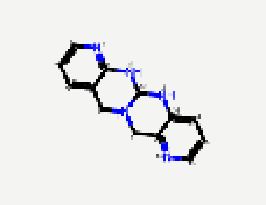 c1cnc2c(c1)CN1Cc3ncccc3NC1N2